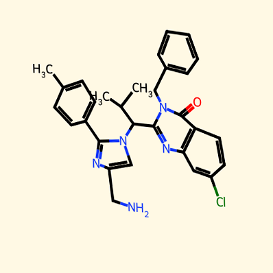 Cc1ccc(-c2nc(CN)cn2C(c2nc3cc(Cl)ccc3c(=O)n2Cc2ccccc2)C(C)C)cc1